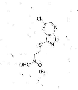 CC(C)(C)ON(C=O)CCSc1noc2ncc(Cl)cc12